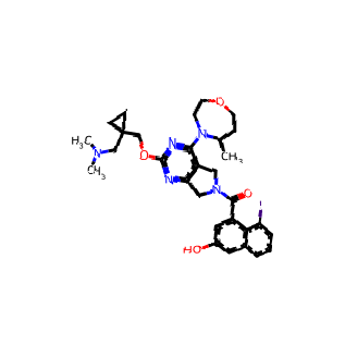 CC1CCOCCN1c1nc(OCC2(CN(C)C)CC2)nc2c1CN(C(=O)c1cc(O)cc3cccc(I)c13)C2